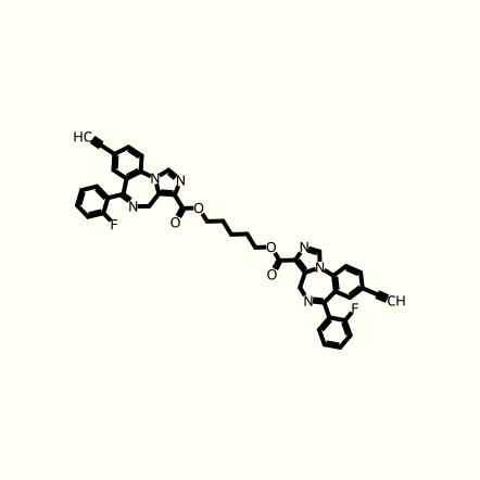 C#Cc1ccc2c(c1)C(c1ccccc1F)=NCc1c(C(=O)OCCCCCOC(=O)c3ncn4c3CN=C(c3ccccc3F)c3cc(C#C)ccc3-4)ncn1-2